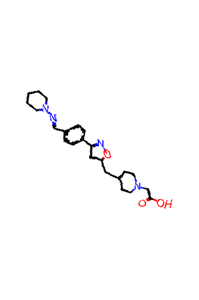 O=C(O)CN1CCC(CC2CC(c3ccc(C=NN4CCCCC4)cc3)=NO2)CC1